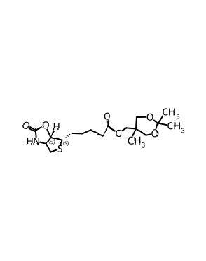 CC1(COC(=O)CCCC[C@@H]2SCC3NC(=O)O[C@@H]32)COC(C)(C)OC1